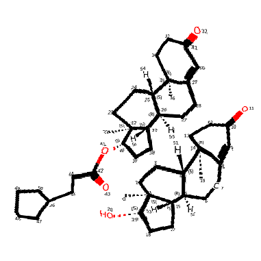 C[C@]12CC[C@H]3[C@@H](CCC4=CC(=O)CC[C@@]43C)[C@@H]1CC[C@@H]2O.C[C@]12CC[C@H]3[C@@H](CCC4=CC(=O)CC[C@@]43C)[C@@H]1CC[C@@H]2OC(=O)CCC1CCCC1